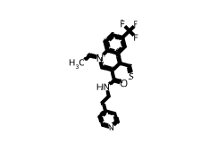 CCN1C=C(C(=O)NCCc2ccncc2)C(C=S)c2cc(C(F)(F)F)ccc21